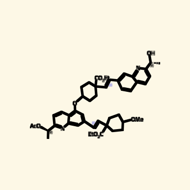 CCOC(=O)C1(/C=C/c2cc(OC3CCC(/C=C/c4ccc5ccc([C@@H](C)O)nc5c4)(C(=O)OCC)CC3)c3ccc([C@@H](C)OC(C)=O)nc3c2)CCC(OC)CC1